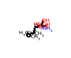 CC(C=CC1=C(C)CCCC1(C)C)=CC=CC(C)=CC(=O)O[C@@H]([C@H](O)[C@H](O)CO)[C@@H](N)C=O